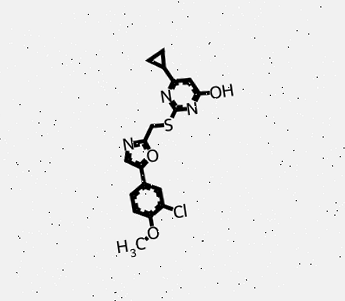 COc1ccc(-c2cnc(CSc3nc(O)cc(C4CC4)n3)o2)cc1Cl